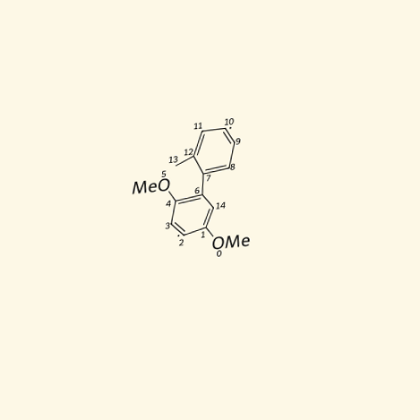 COc1[c]cc(OC)c(-c2cc[c]cc2C)c1